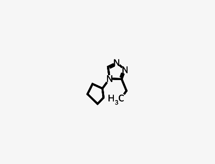 CCc1nncn1C1CCCC1